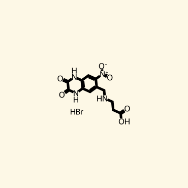 Br.O=C(O)CCNCc1cc2[nH]c(=O)c(=O)[nH]c2cc1[N+](=O)[O-]